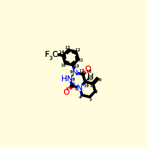 C=C1CCCN2C(=O)NN(c3cccc(C(F)(F)F)c3)C(=O)[C@@H]12